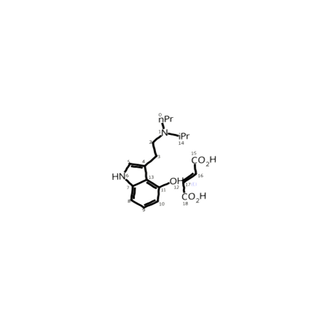 CCCN(CCc1c[nH]c2cccc(O)c12)C(C)C.O=C(O)/C=C/C(=O)O